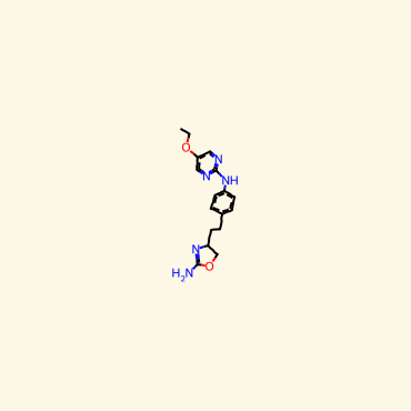 CCOc1cnc(Nc2ccc(CCC3COC(N)=N3)cc2)nc1